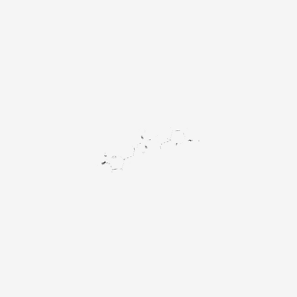 O=S1OCC(COS(=O)(=O)OCC2CCS(=O)(=O)O2)O1